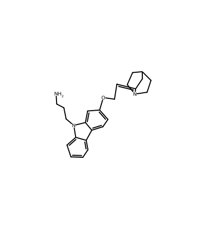 NCCCn1c2ccccc2c2ccc(OCC=C3CC4CCN3CC4)cc21